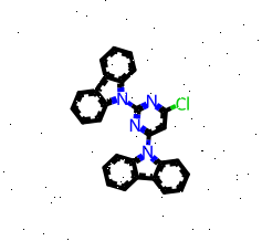 Clc1cc(-n2c3ccccc3c3ccccc32)nc(-n2c3ccccc3c3ccccc32)n1